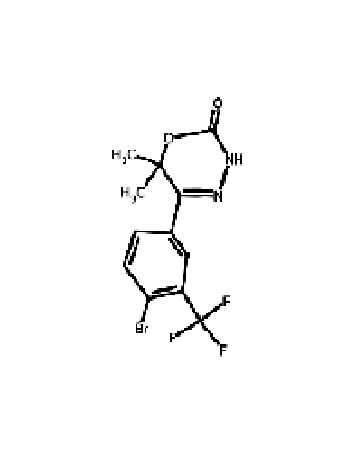 CC1(C)OC(=O)NN=C1c1ccc(Br)c(C(F)(F)F)c1